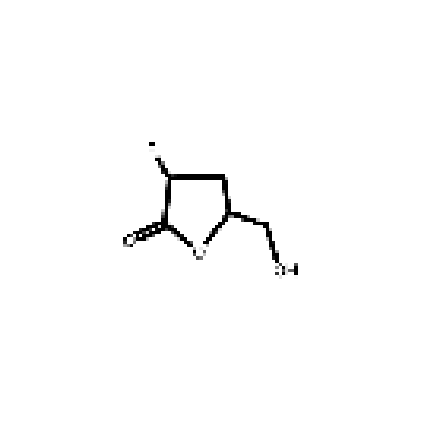 O=C1OC(CO)CC1F